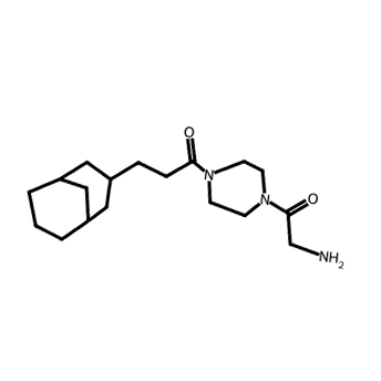 NCC(=O)N1CCN(C(=O)CCC2CC3CCCC(C3)C2)CC1